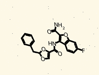 NC(=O)c1oc2cc(F)ccc2c1NC(=O)C1=COC(Cc2ccccc2)O1